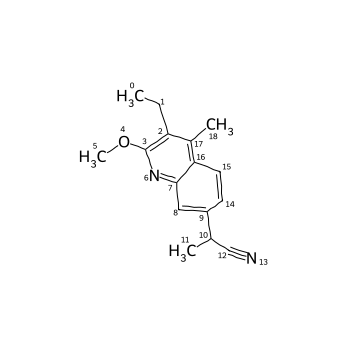 CCc1c(OC)nc2cc(C(C)C#N)ccc2c1C